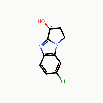 O[C@H]1CCn2c1nc1ccc(Cl)cc12